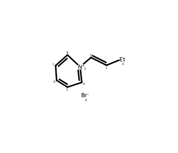 CCC=C[n+]1ccccc1.[Br-]